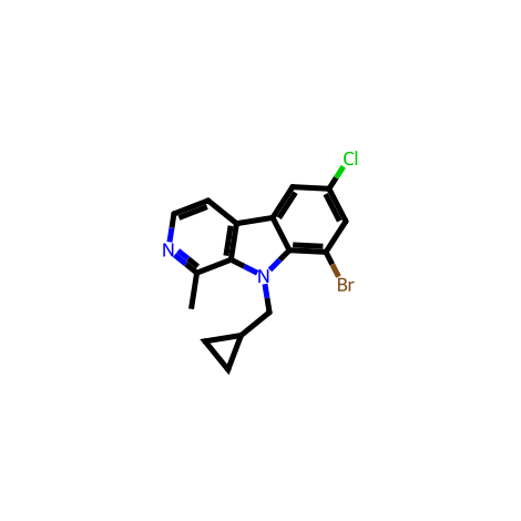 Cc1nccc2c3cc(Cl)cc(Br)c3n(CC3CC3)c12